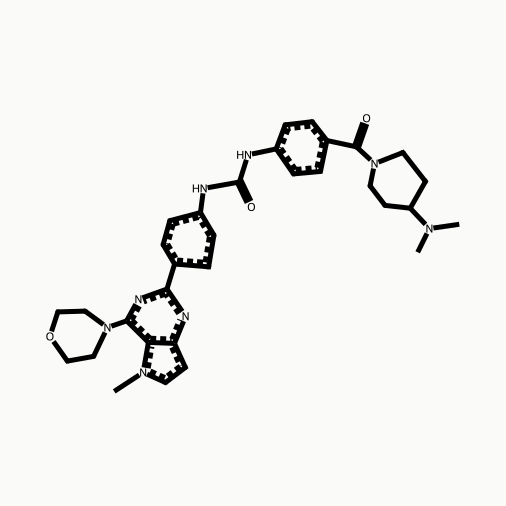 CN(C)C1CCN(C(=O)c2ccc(NC(=O)Nc3ccc(-c4nc(N5CCOCC5)c5c(ccn5C)n4)cc3)cc2)CC1